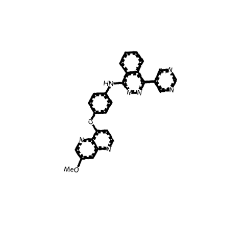 COc1cnc2c(Oc3ccc(Nc4nnc(-c5cncnc5)c5ccccc45)cc3)ccnc2c1